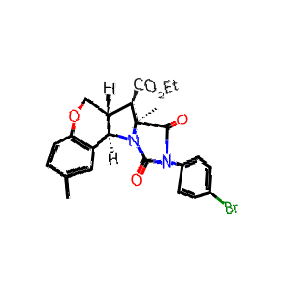 CCOC(=O)[C@@H]1[C@H]2COc3ccc(C)cc3[C@@H]2N2C(=O)N(c3ccc(Br)cc3)C(=O)[C@]12C